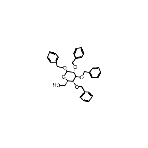 OC[C@H]1O[C@@H](OCc2ccccc2)[C@H](OCc2ccccc2)[C@@H](OCc2ccccc2)[C@H]1OCc1ccccc1